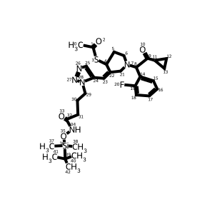 CC(=O)SC1CCN(C(C(=O)C2CC2)c2ccccc2F)CC1=Cc1cnnn1CCCC(=O)NO[Si](C)(C)C(C)(C)C